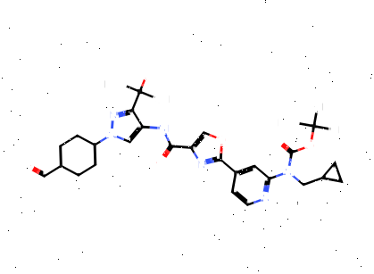 CC(C)(C)OC(=O)N(CC1CC1)c1cc(-c2nc(C(=O)Nc3cn(C4CCC(C=O)CC4)nc3C(C)(C)O)co2)ccn1